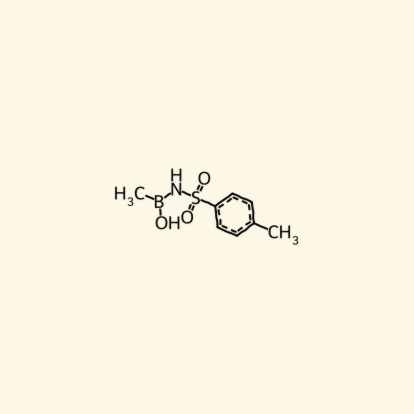 CB(O)NS(=O)(=O)c1ccc(C)cc1